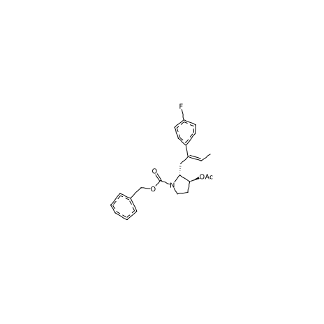 C/C=C(/C[C@@H]1[C@@H](OC(C)=O)CCN1C(=O)OCc1ccccc1)c1ccc(F)cc1